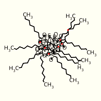 CCCCCCCCS(=O)(=O)N(F)C(SC(N(F)S(=O)(=O)CCCCCCCC)(N(F)S(=O)(=O)CCCCCCCC)C(N(F)S(=O)(=O)CCCCCCCC)(N(F)S(=O)(=O)CCCCCCCC)N(F)S(=O)(=O)CCCCCCCC)(N(F)S(=O)(=O)CCCCCCCC)C(N(F)S(=O)(=O)CCCCCCCC)(N(F)S(=O)(=O)CCCCCCCC)N(F)S(=O)(=O)CCCCCCCC